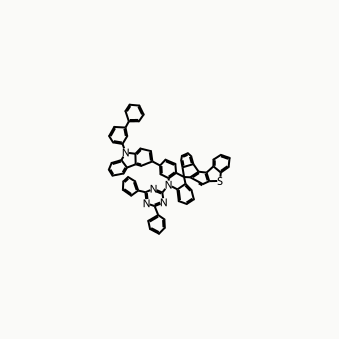 c1ccc(-c2cccc(-n3c4ccccc4c4cc(-c5ccc6c(c5)N(c5nc(-c7ccccc7)nc(-c7ccccc7)n5)c5ccccc5C65c6ccccc6-c6c5ccc5sc7ccccc7c65)ccc43)c2)cc1